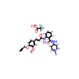 C#CCOc1ccc(/C=C/C(=O)Nc2ccccc2C(=O)NC2CCN(C)CC2)cc1OC.O=C(O)C(F)(F)F